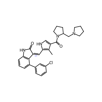 Cc1c(C(=O)N2CCCC2CN2CCCC2)c[nH]c1/C=C1\C(=O)Nc2cccc(-c3cccc(Cl)c3)c21